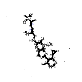 C=N/C(=C\C=C(/C)S(C)(=O)=O)CNc1nc2cnc(-c3c(C)ncnc3C3CC3)nc2n([C@@H](C)CC)c1=O